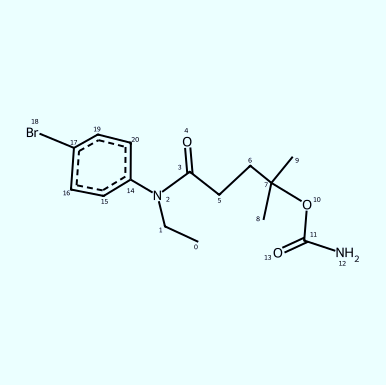 CCN(C(=O)CCC(C)(C)OC(N)=O)c1ccc(Br)cc1